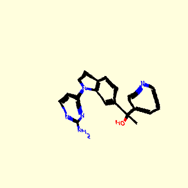 CC(O)(c1cccnc1)c1ccc2c(c1)N(c1ccnc(N)n1)CC2